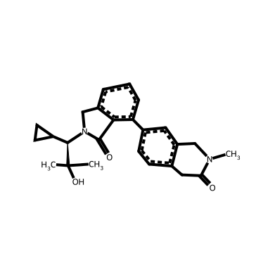 CN1Cc2cc(-c3cccc4c3C(=O)N([C@H](C3CC3)C(C)(C)O)C4)ccc2CC1=O